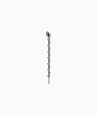 CCCCCCCCOCCOCCOCCOCCOCCOCCOCCOCCOCCOCCOCCOCCOCCOP1Oc2ccccc2O1